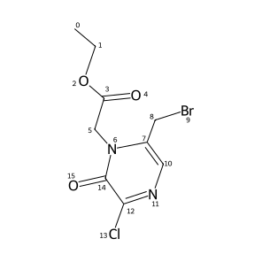 CCOC(=O)Cn1c(CBr)cnc(Cl)c1=O